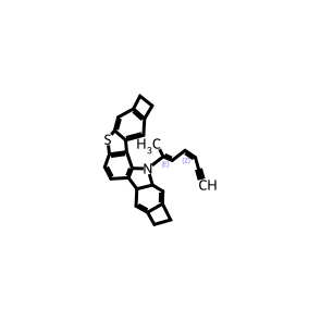 C#C/C=C\C=C(/C)N1c2c(ccc3sc4cc5c(cc4c23)CC5)C2C=C3CCC3=CC21